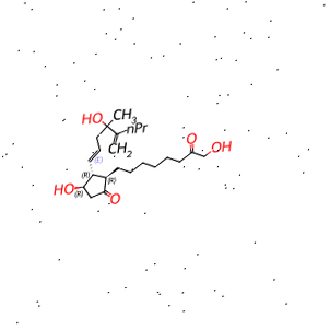 C=C(CCC)C(C)(O)C/C=C/[C@H]1[C@H](O)CC(=O)[C@@H]1CCCCCCC(=O)CO